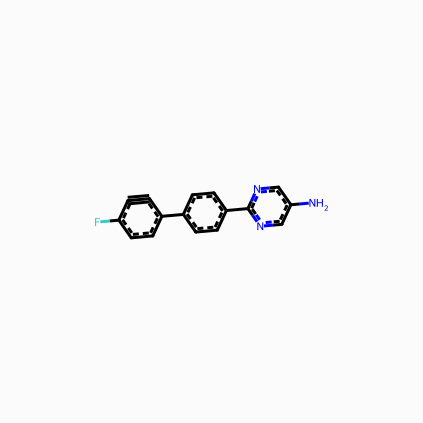 Nc1cnc(-c2ccc(-c3c#cc(F)cc3)cc2)nc1